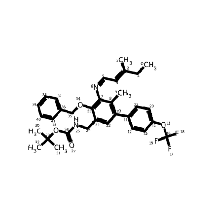 CC/C(C)=C/C=N\c1c(C)c(-c2ccc(OC(F)(F)F)cc2)cc(CNC(=O)OC(C)(C)C)c1OCc1ccccc1